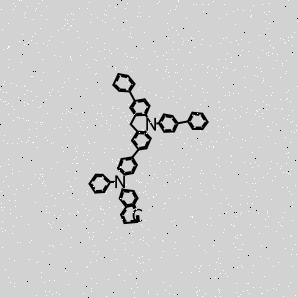 c1ccc(-c2ccc(N3c4ccc(-c5ccccc5)cc4Cc4cc(-c5ccc(N(c6ccccc6)c6ccc7ccccc7c6)cc5)ccc43)cc2)cc1